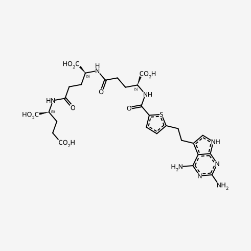 Nc1nc(N)c2c(CCc3ccc(C(=O)N[C@@H](CCC(=O)N[C@@H](CCC(=O)N[C@@H](CCC(=O)O)C(=O)O)C(=O)O)C(=O)O)s3)c[nH]c2n1